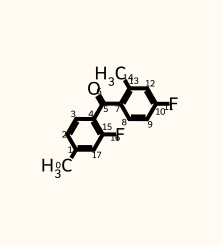 Cc1ccc(C(=O)c2ccc(F)cc2C)c(F)c1